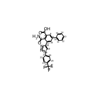 NC(=O)c1c(C(=O)O)cc(-c2ccccc2)cc1-c1cn(-c2ccc(C(F)(F)F)cc2)nn1